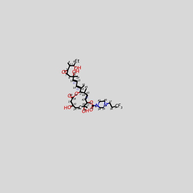 CCC(O)C(C)C1OC1CC(C)(O)/C=C/C=C(\C)C1OC(=O)CC(O)CCC(C)(O)C(OC(=O)N2CCN(CCC(F)(F)F)CC2)/C=C/C1C